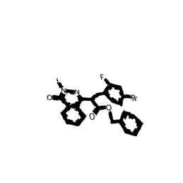 O=C(OCc1ccccc1)C(Cc1ccc(Br)cc1F)c1nn(I)c(=O)c2ccccc12